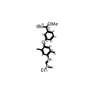 CCN(C)C=Nc1cc(C)c(Oc2cccc(C(OC)C(C)(C)C)c2)cc1C